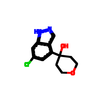 OC1(c2cc(Cl)cc3[nH]ncc23)CCOCC1